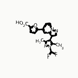 Cc1nn(C(F)F)c(C)c1-c1cnn2ccc(-c3ccc(C(=O)O)o3)cc12